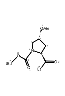 CCC(=O)[C@@H]1C[C@@H](OC)CN1C(=O)OC(C)(C)C